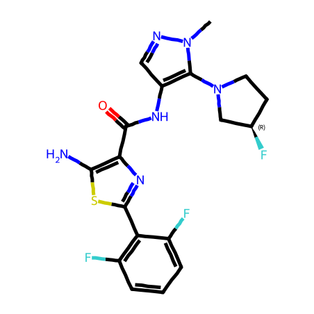 Cn1ncc(NC(=O)c2nc(-c3c(F)cccc3F)sc2N)c1N1CC[C@@H](F)C1